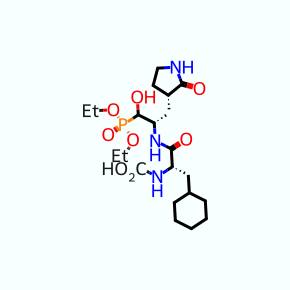 CCOP(=O)(OCC)C(O)[C@H](C[C@@H]1CCNC1=O)NC(=O)[C@H](CC1CCCCC1)NC(=O)O